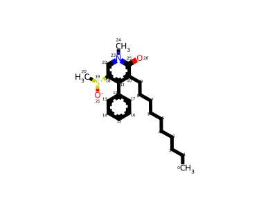 CCCCCCCCCCc1c(-c2ccccc2)c([S+](C)[O-])cn(C)c1=O